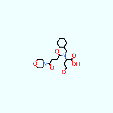 O=CCC(C(=O)O)N(CC1CCCCC1)C(=O)CCC(=O)N1CCOCC1